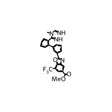 COC(=O)c1cc(C(F)(F)F)c2oc(-c3cccc(-c4ccccc4C(=N)N(C)C=N)c3)nc2c1